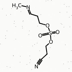 C/N=C/CCOS(=O)(=O)OCCC#N